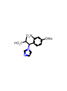 COc1ccc(C(C(C)C(=O)O)n2ccnc2)c([N+](=O)[O-])c1